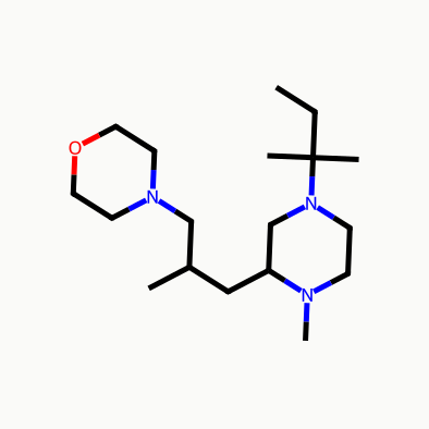 CCC(C)(C)N1CCN(C)C(CC(C)CN2CCOCC2)C1